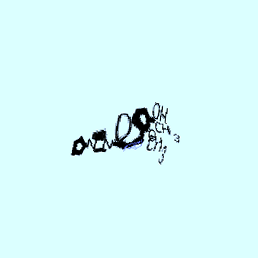 COc1c(/C=C\C(=O)N2CCN(C3CCCC3)CC2)cccc1C(C)O